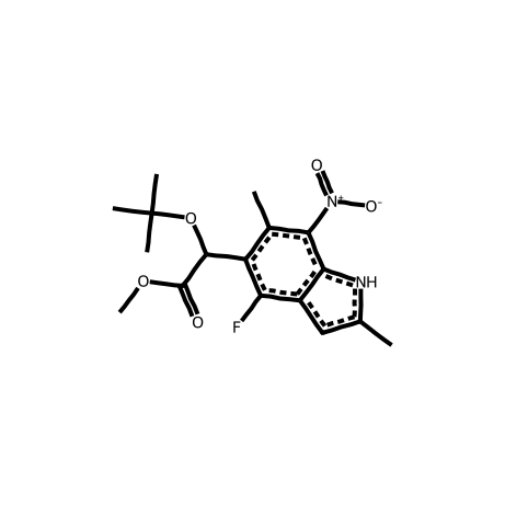 COC(=O)C(OC(C)(C)C)c1c(C)c([N+](=O)[O-])c2[nH]c(C)cc2c1F